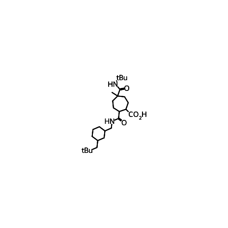 CC(C)(C)CC1CCCC(CNC(=O)C2CCC(C)(C(=O)NC(C)(C)C)CCC2C(=O)O)C1